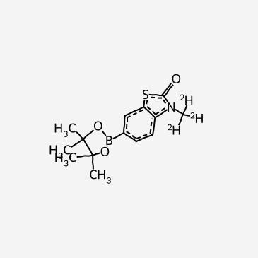 [2H]C([2H])([2H])n1c(=O)sc2cc(B3OC(C)(C)C(C)(C)O3)ccc21